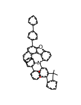 CC1(C)c2ccccc2-c2ccc(N(c3ccccc3-c3ccccc3)c3cccc4oc5c(-c6ccc(-c7ccccc7)cc6)cc6ccccc6c5c34)cc21